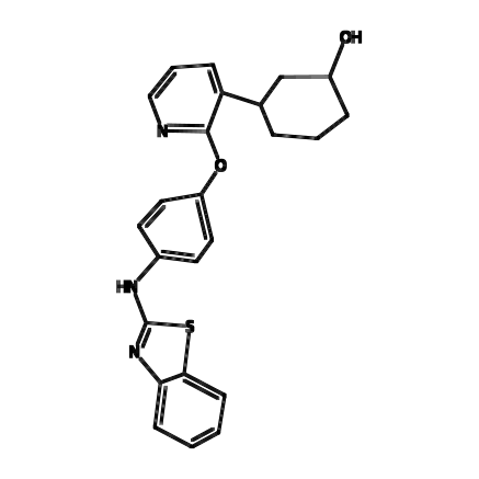 OC1CCCC(c2cccnc2Oc2ccc(Nc3nc4ccccc4s3)cc2)C1